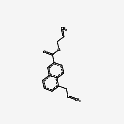 C=CCOC(=O)c1ccc2c(CC=C)cccc2c1